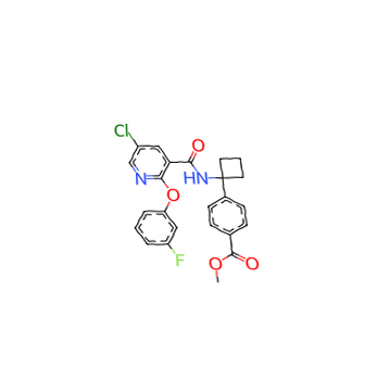 COC(=O)c1ccc(C2(NC(=O)c3cc(Cl)cnc3Oc3cccc(F)c3)CCC2)cc1